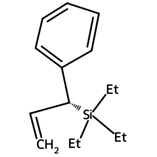 C=C[C@H](c1ccccc1)[Si](CC)(CC)CC